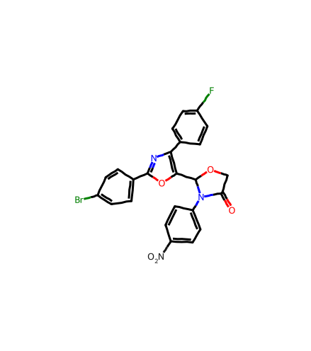 O=C1COC(c2oc(-c3ccc(Br)cc3)nc2-c2ccc(F)cc2)N1c1ccc([N+](=O)[O-])cc1